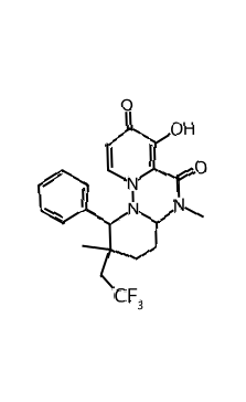 CN1C(=O)c2c(O)c(=O)ccn2N2C1CCC(C)(CC(F)(F)F)C2c1ccccc1